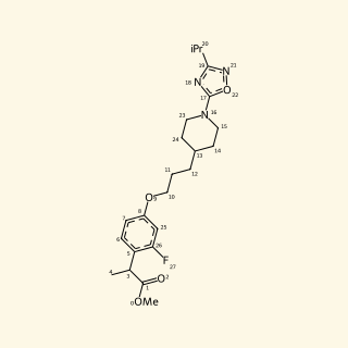 COC(=O)C(C)c1ccc(OCCCC2CCN(c3nc(C(C)C)no3)CC2)cc1F